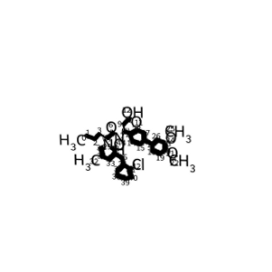 CCCC[C@@H](C(=O)N[C@@H](CC(=O)O)c1ccc(-c2ccc(OC)c(OC)c2)cc1)n1cc(C)cc(Cc2ccccc2Cl)c1=O